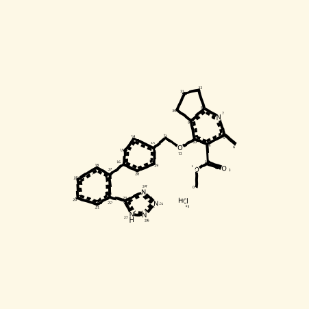 COC(=O)c1c(C)nc2c(c1OCc1ccc(-c3ccccc3-c3nnn[nH]3)cc1)CCC2.Cl